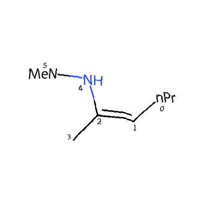 CCC/C=C(/C)NNC